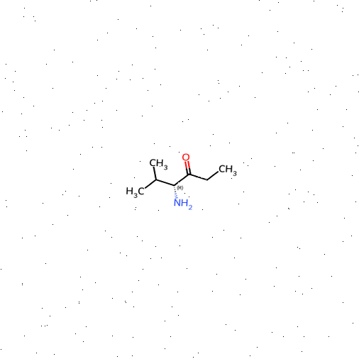 CCC(=O)[C@H](N)C(C)C